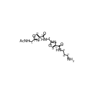 CC(=O)NCc1nc(C(=O)NCc2nc(C(=O)NCCCN)co2)co1